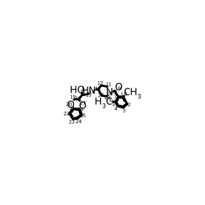 Cc1cccc(C)c1C(=O)N1CCC(NCC(O)C2COc3ccccc3O2)CC1